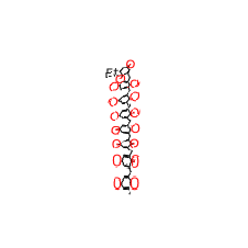 CCC1=CC(=O)C=C(CC2=CC(=O)C=C(CC3=CC(=O)C=C(CC4=CC(=O)C=C(CC5=CC(=O)C=C(CC6=CC(=O)C=C(CC7=CC(=O)C=C(CC8=CC(=O)C=C(C)C8=O)C7=O)C6=O)C5=O)C4=O)C3=O)C2=O)C1=O